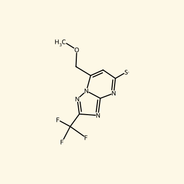 COCc1cc([S])nc2nc(C(F)(F)F)nn12